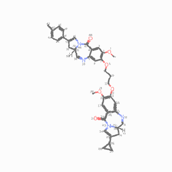 COc1cc2c(cc1OCCCOc1cc3c(cc1OC)C(=O)N1C=C(C4CC4)C[C@H]1C=N3)N=C[C@@H]1CC(c3ccc(C)cc3)=CN1C2=O